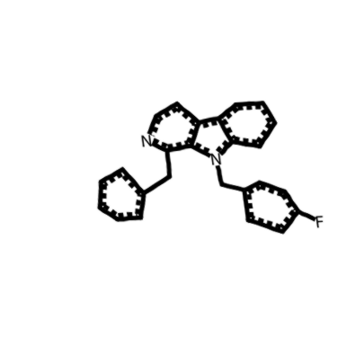 Fc1ccc(Cn2c3ccccc3c3ccnc(Cc4ccccc4)c32)cc1